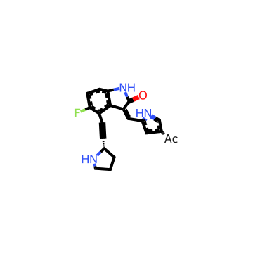 CC(=O)c1c[nH]c(C=C2C(=O)Nc3ccc(F)c(C#C[C@@H]4CCCN4)c32)c1